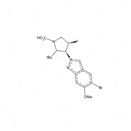 COc1cc2nn([C@H]3C(C(C)(C)C)N(C(=O)O)C[C@H]3F)cc2cc1Br